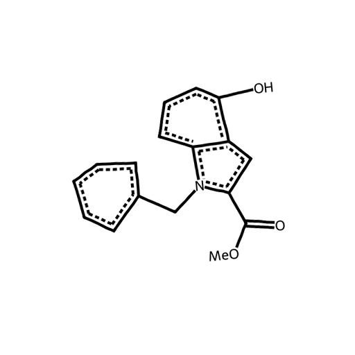 COC(=O)c1cc2c(O)cccc2n1Cc1ccccc1